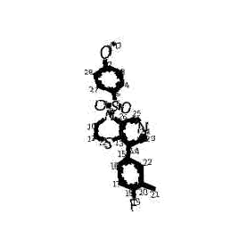 COc1ccc(S(=O)(=O)N2CCSc3c(-c4ccc(F)c(C)c4)cncc32)cc1